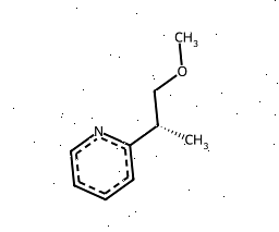 COC[C@H](C)c1ccccn1